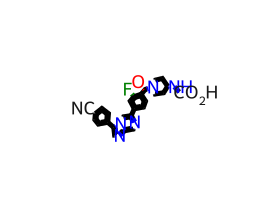 N#Cc1ccc(-c2cnc3cnc(-c4ccc(C(=O)N5CCC(NC(=O)O)CC5)c(F)c4)cn23)cc1